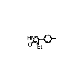 CCn1c(-c2ccc(C)cc2)c[nH]c1=O